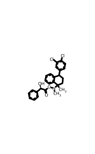 CN(OC(=O)[C@H](O)c1ccccc1)C1(C)CCC(c2ccc(Cl)c(Cl)c2)c2ccccc21